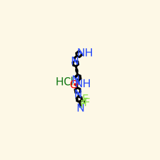 Cl.N#Cc1ccc(N2CCC(C(=O)Nc3ccc(C#CC4CCN(CC5CCNCC5)CC4)cn3)CC2)cc1C(F)(F)F